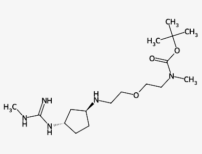 CNC(=N)N[C@H]1CC[C@H](NCCOCCN(C)C(=O)OC(C)(C)C)C1